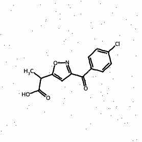 CC(C(=O)O)c1cc(C(=O)c2ccc(Cl)cc2)no1